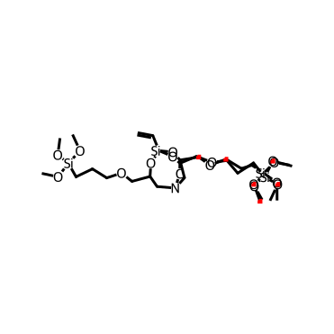 C=C[Si]12OC(COCCC[Si](OC)(OC)OC)CN(CC(COCCC[Si](OC)(OC)OC)O1)CC(COCCC[Si](OC)(OC)OC)O2